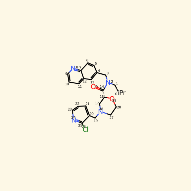 CC(C)CN(Cc1ccc2ncccc2c1)C(=O)[C@H]1CN(Cc2cccnc2Cl)CCO1